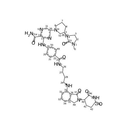 CN1CCN([C@@H]2CCCN(c3cnc(C(N)=O)c(Nc4ccc(C(=O)NCCCCNc5cccc6c5C(=O)N(C5CCC(=O)NC5=O)C6)cc4)n3)C2)C1=O